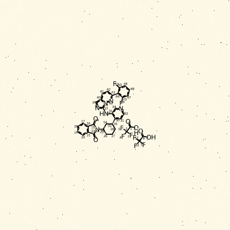 O=C(O)C(F)(F)F.O=C(O)C(F)(F)F.O=C1c2ccccc2C(=O)N1[C@@H]1CCC[C@H](c2ccncc2Nc2ncc3ccc(-c4c(F)cccc4F)nn23)C1